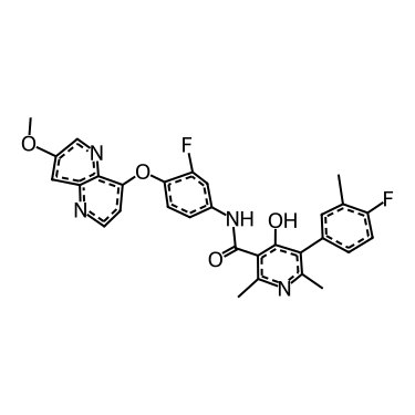 COc1cnc2c(Oc3ccc(NC(=O)c4c(C)nc(C)c(-c5ccc(F)c(C)c5)c4O)cc3F)ccnc2c1